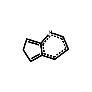 C1=c2cccnc2=CC1